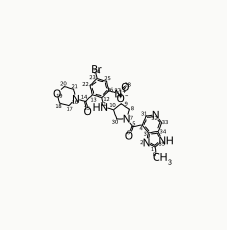 Cc1nc2c(C(=O)N3CCC(Nc4c(C(=O)N5CCOCC5)cc(Br)cc4[N+](=O)[O-])C3)cncc2[nH]1